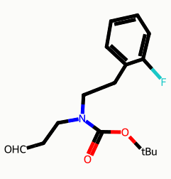 CC(C)(C)OC(=O)N(CCC=O)CCc1ccccc1F